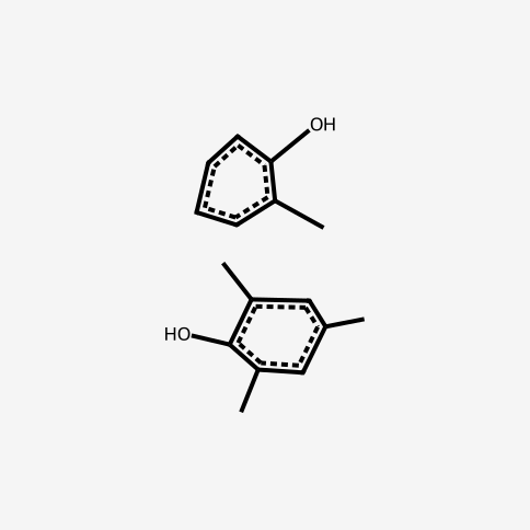 Cc1cc(C)c(O)c(C)c1.Cc1ccccc1O